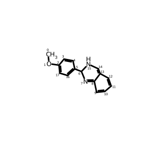 COc1ccc(C2N=c3ccccc3=CN2)cc1